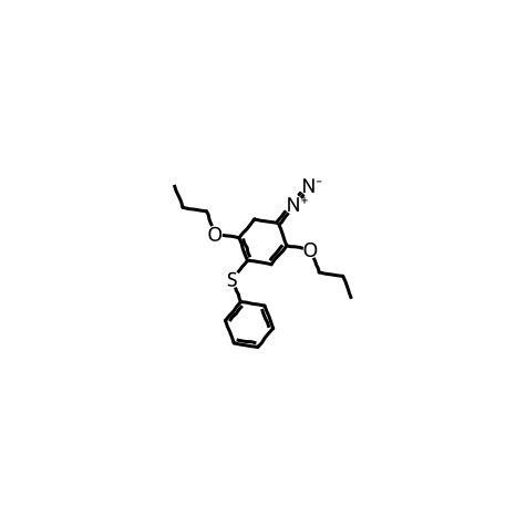 CCCOC1=CC(Sc2ccccc2)=C(OCCC)CC1=[N+]=[N-]